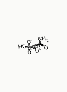 NC(=O)O.O=P([O-])(O)O.[Li+]